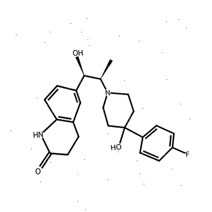 C[C@H]([C@H](O)c1ccc2c(c1)CCC(=O)N2)N1CCC(O)(c2ccc(F)cc2)CC1